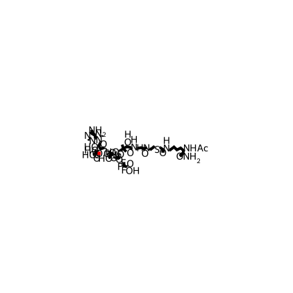 CC(=O)N[C@@H](CCCCNC(=O)CSCCNC(=O)CCNC(=O)[C@H](O)C(C)(C)COP(=O)(O)OP(=O)(O)OC[C@H]1O[C@@H](n2cnc3c(N)ncnc32)[C@H](O)[C@@H]1OP(=O)(O)O)C(N)=O.O=C(O)C(F)(F)F